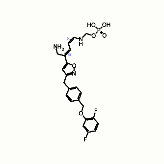 NC/C(=C\C=C/NCOP(=O)(O)O)c1cc(Cc2ccc(COc3cc(F)ccc3F)cc2)no1